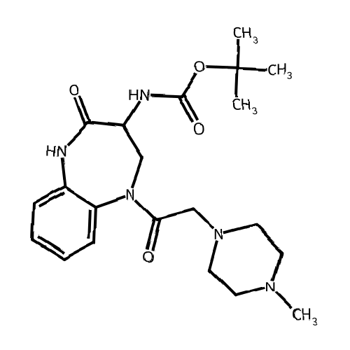 CN1CCN(CC(=O)N2CC(NC(=O)OC(C)(C)C)C(=O)Nc3ccccc32)CC1